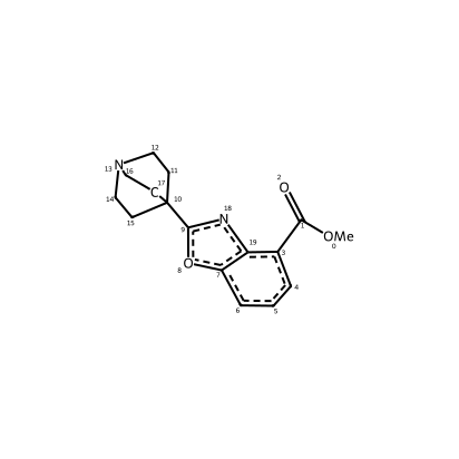 COC(=O)c1cccc2oc(C34CCN(CC3)CC4)nc12